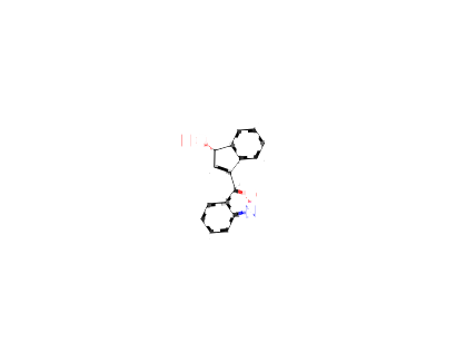 OC1C=C(c2onc3ccccc23)c2ccccc21